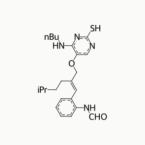 CCCCNc1nc(S)ncc1OC/C(=C/c1ccccc1NC=O)CCC(C)C